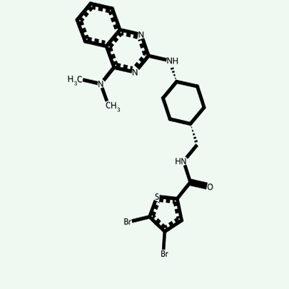 CN(C)c1nc(N[C@H]2CC[C@@H](CNC(=O)c3cc(Br)c(Br)s3)CC2)nc2ccccc12